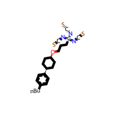 CCCCc1ccc([C@H]2CC[C@H](OCCC[Si](N=C=S)(N=C=S)N=C=S)CC2)cc1